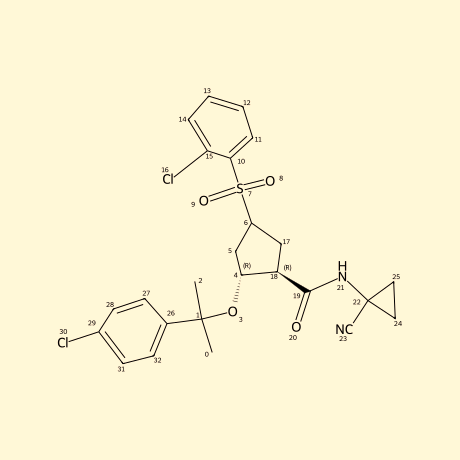 CC(C)(O[C@@H]1CC(S(=O)(=O)c2ccccc2Cl)C[C@H]1C(=O)NC1(C#N)CC1)c1ccc(Cl)cc1